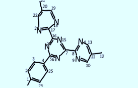 Cc1ccc(-c2nc(-c3ncc(C)cn3)nc(-c3ncc(C)cn3)n2)cc1